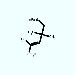 CCCCCCC(C)(C)C=C(C)C(=O)O